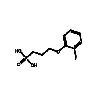 O=P(O)(O)CCCOc1ccccc1F